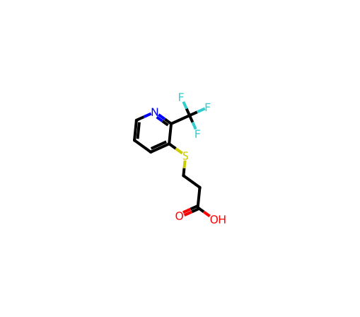 O=C(O)CCSc1cccnc1C(F)(F)F